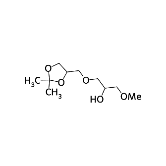 COCC(O)COCC1COC(C)(C)O1